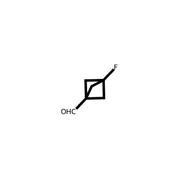 O=CC12CC(F)(C1)C2